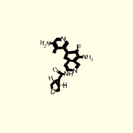 Cc1c(N)cncc1-c1cc2cc(NC(=O)C3[C@H]4COC[C@@H]34)ncc2c(N)c1F